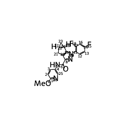 COc1ccc(NC(=O)c2nn(-c3ccc(F)cc3F)c3c2C[C@H]2C[C@@H]32)cn1